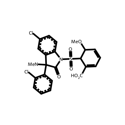 CNC1(c2ccccc2Cl)C(=O)N(S(=O)(=O)C2C(C(=O)O)=CC=CC2OC)c2ccc(Cl)cc21